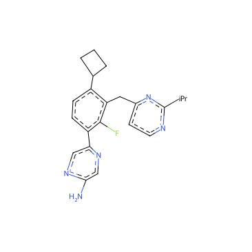 CC(C)c1nccc(Cc2c(C3CCC3)ccc(-c3cnc(N)cn3)c2F)n1